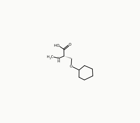 CN[C@@H](COC1CCCCC1)C(=O)O